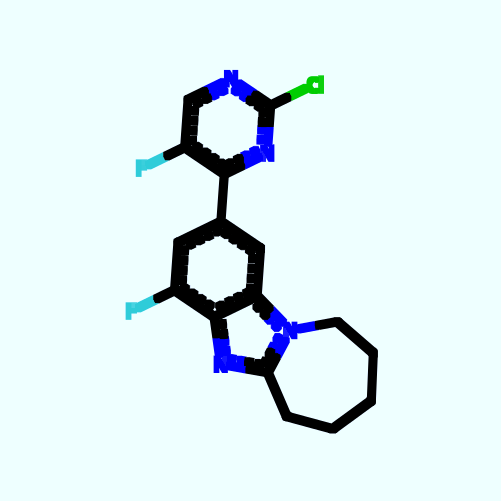 Fc1cnc(Cl)nc1-c1cc(F)c2nc3n(c2c1)CCCCC3